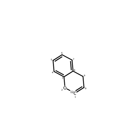 C1=[12CH]Oc2ccccc2C1